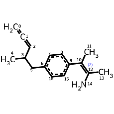 C=C=CC(C)Cc1ccc(/C(C)=C(/C)N)cc1